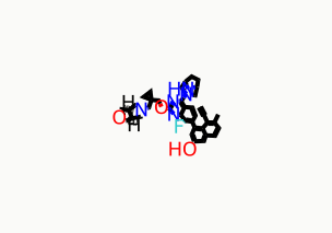 C#Cc1c(C)ccc2cc(O)cc(-c3ccc4c(N5CC6CCC(C5)N6)nc(OCC5(CN6C[C@H]7COC[C@H]7C6)CC5)nc4c3F)c12